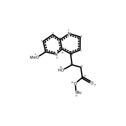 COc1ccc2nccc(C(O)CC(=O)OC(C)(C)C)c2n1